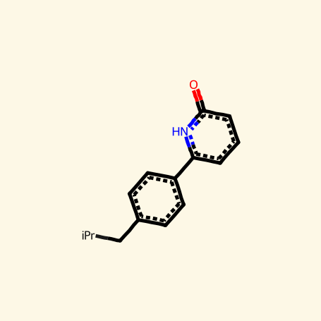 CC(C)Cc1ccc(-c2cccc(=O)[nH]2)cc1